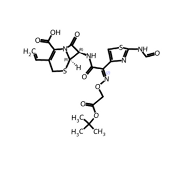 C=CC1=C(C(=O)O)N2C(=O)[C@@H](NC(=O)/C(=N\OCC(=O)OC(C)(C)C)c3csc(NC=O)n3)[C@H]2SC1